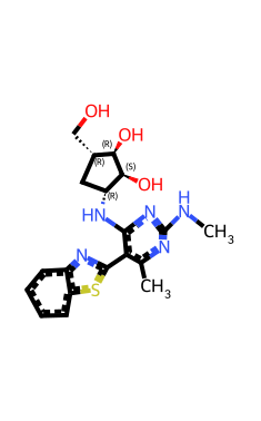 CNc1nc(C)c(-c2nc3ccccc3s2)c(N[C@@H]2C[C@H](CO)[C@@H](O)[C@H]2O)n1